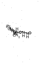 Cc1cc(N2CCN(C(=O)CC(C)C)CC2)nc(NCc2ccc(CNCCCNC3CCCCC3)cc2)n1